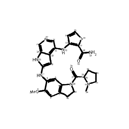 COc1cc2c(cc1Nc1cc3c(Nc4ccsc4C(N)=O)cncc3[nH]1)N(C(=O)[C@H]1CCCN1C)CC2